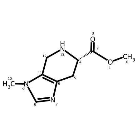 COC(=O)[C@@H]1Cc2ncn(C)c2CN1